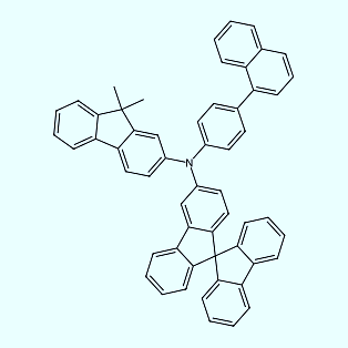 CC1(C)c2ccccc2-c2ccc(N(c3ccc(-c4cccc5ccccc45)cc3)c3ccc4c(c3)-c3ccccc3C43c4ccccc4-c4ccccc43)cc21